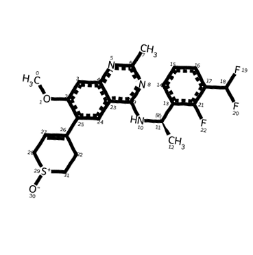 COc1cc2nc(C)nc(N[C@H](C)c3cccc(C(F)F)c3F)c2cc1C1=CC[S+]([O-])CC1